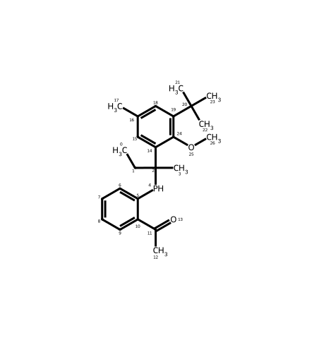 CCC(C)(Pc1ccccc1C(C)=O)c1cc(C)cc(C(C)(C)C)c1OC